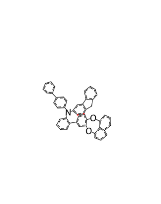 c1ccc(-c2ccc(N(c3ccc4c(c3)-c3ccccc3C4)c3ccccc3-c3ccc4c(c3)Oc3cccc5cccc(c35)O4)cc2)cc1